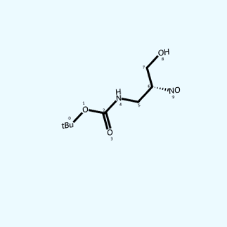 CC(C)(C)OC(=O)NC[C@H](CO)N=O